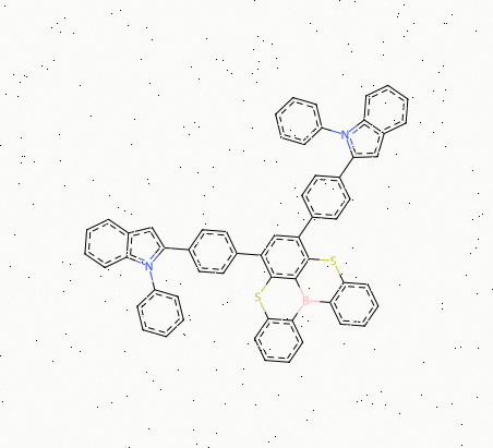 c1ccc(-n2c(-c3ccc(-c4cc(-c5ccc(-c6cc7ccccc7n6-c6ccccc6)cc5)c5c6c4Sc4ccccc4B6c4ccccc4S5)cc3)cc3ccccc32)cc1